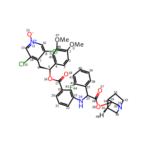 COc1ccc([C@H](Cc2c(Cl)c[n+]([O-])cc2Cl)OC(=O)c2cccc(NC(C(=O)O[C@H]3CN4CCC3CC4)c3ccccc3F)c2)cc1OC